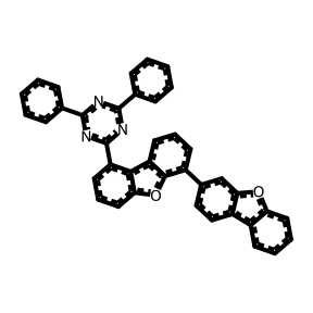 c1ccc(-c2nc(-c3ccccc3)nc(-c3cccc4oc5c(-c6ccc7c(c6)oc6ccccc67)cccc5c34)n2)cc1